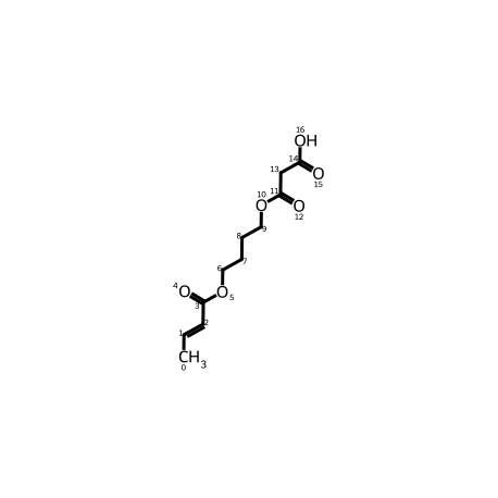 CC=CC(=O)OCCCCOC(=O)CC(=O)O